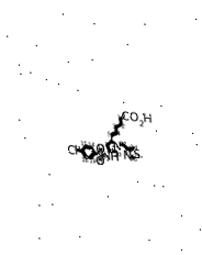 O=C(O)CCCC=C[C@@H]1C[C@@H](NS(=O)(=O)c2ccc(Cl)cc2)CN1Cc1cscn1